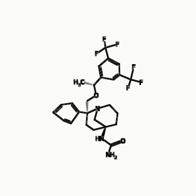 C[C@@H](OC[C@@]1(c2ccccc2)CC[C@@]2(NC(N)=O)CCCN1C2)c1cc(C(F)(F)F)cc(C(F)(F)F)c1